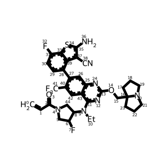 C=CC(=O)N1CC(F)C(N(CC)c2nc(OCC34CCCN3CCC4)nc3cc(-c4ccc(F)c5sc(N)c(C#N)c45)c(C(F)(F)F)cc23)C1